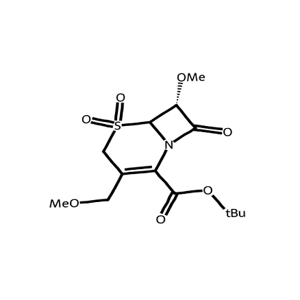 COCC1=C(C(=O)OC(C)(C)C)N2C(=O)[C@@H](OC)C2S(=O)(=O)C1